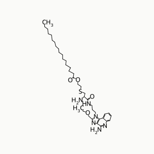 CCCCCCCCCCCCCCCCCC(=O)OCCSCC(N)C(=O)NCCCn1c(COCC)nc2c(N)nc3ccccc3c21